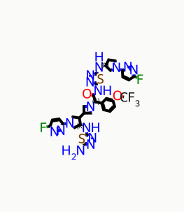 Nc1nnc(N[C@H]2CN(c3ccc(F)nn3)CC2C2CN([C@H](C(=O)Nc3nnc(N[C@@H]4CCN(c5ccc(F)nn5)C4)s3)c3cccc(OC(F)(F)F)c3)C2)s1